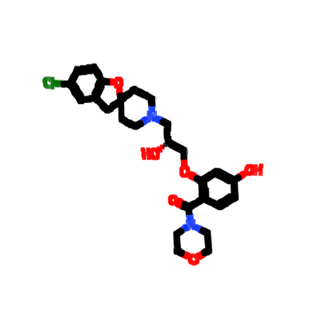 O=C(c1ccc(O)cc1OC[C@H](O)CN1CCC2(CC1)Cc1cc(Cl)ccc1O2)N1CCOCC1